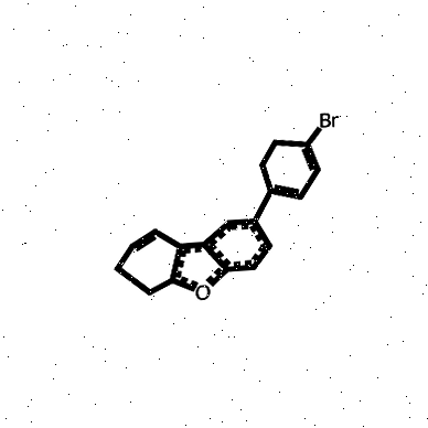 BrC1=CC=C(c2ccc3oc4c(c3c2)C=CCC4)CC1